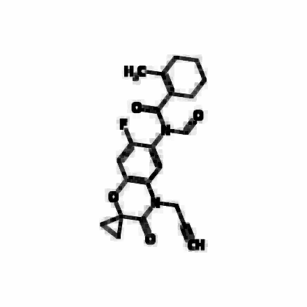 C#CCN1C(=O)C2(CC2)Oc2cc(F)c(N(C=O)C(=O)C3=C(C)CCCC3)cc21